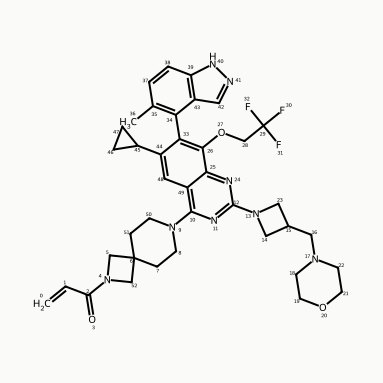 C=CC(=O)N1CC2(CCN(c3nc(N4CC(CN5CCOCC5)C4)nc4c(OCC(F)(F)F)c(-c5c(C)ccc6[nH]ncc56)c(C5CC5)cc34)CC2)C1